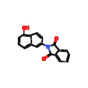 O=C1c2ccccc2C(=O)N1c1ccc2c(O)cccc2c1